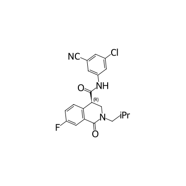 CC(C)CN1C[C@H](C(=O)Nc2cc(Cl)cc(C#N)c2)c2ccc(F)cc2C1=O